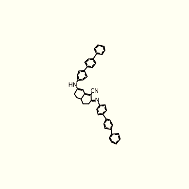 N#CC1=C2C=C(Nc3ccc(-c4ccc(-c5ccccc5)cc4)cc3)CCC2CC/C1=N\c1ccc(-c2ccc(-c3ccccc3)cc2)cc1